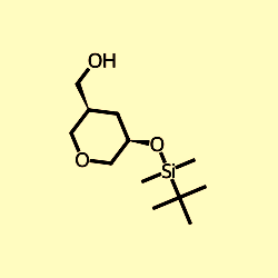 CC(C)(C)[Si](C)(C)O[C@H]1COC[C@@H](CO)C1